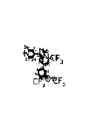 Cc1cc(-c2ncn3c(C(F)(F)F)cc(-c4ccc(C(F)(F)F)c(OCC(F)(F)F)c4)nc23)ccn1